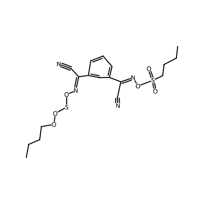 CCCCOOSON=C(C#N)c1cccc(C(C#N)=NOS(=O)(=O)CCCC)c1